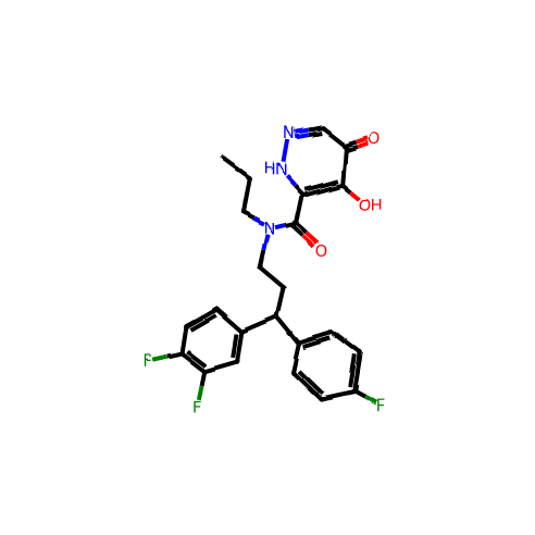 CCCN(CCC(c1ccc(F)cc1)c1ccc(F)c(F)c1)C(=O)c1[nH]ncc(=O)c1O